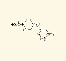 O=C(O)N1CCC(Oc2ccnc(Cl)c2)CC1